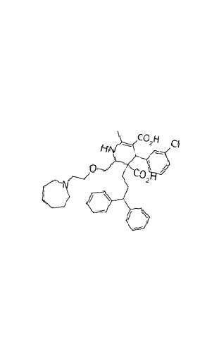 CC1=C(C(=O)O)C(c2cccc(Cl)c2)C(CCC(c2ccccc2)c2ccccc2)(C(=O)O)C(COCCN2CCCCCC2)N1